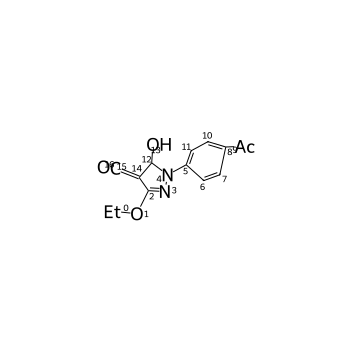 CCOC1=NN(c2ccc(C(C)=O)cc2)C(O)C1=C=O